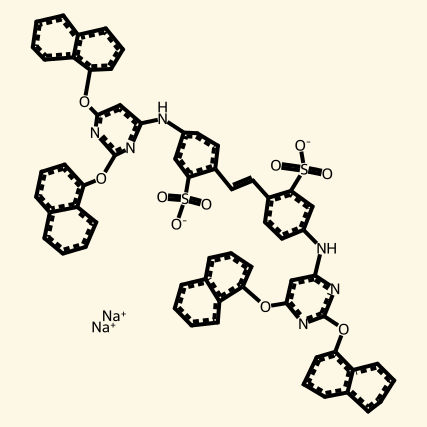 O=S(=O)([O-])c1cc(Nc2cc(Oc3cccc4ccccc34)nc(Oc3cccc4ccccc34)n2)ccc1C=Cc1ccc(Nc2cc(Oc3cccc4ccccc34)nc(Oc3cccc4ccccc34)n2)cc1S(=O)(=O)[O-].[Na+].[Na+]